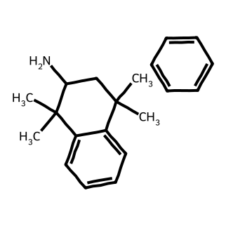 CC1(C)CC(N)C(C)(C)c2ccccc21.c1ccccc1